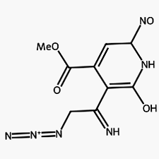 COC(=O)C1=CC(N=O)NC(O)=C1C(=N)CN=[N+]=[N-]